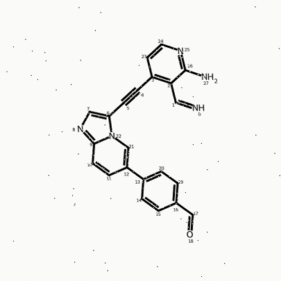 N=Cc1c(C#Cc2cnc3ccc(-c4ccc(C=O)cc4)cn23)ccnc1N